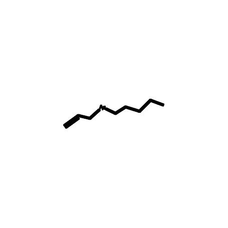 C=CC[As]CCCCC